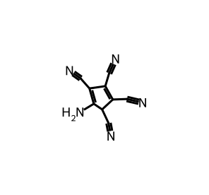 N#CC1=C(N)C(C#N)C(C#N)=C1C#N